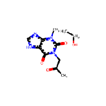 CC(=O)Cn1c(=O)c2[nH]cnc2n(C)c1=O.C[SiH2]O